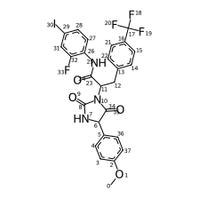 COc1ccc(C2NC(=O)N(C(Cc3ccc(C(F)(F)F)cc3)C(=O)Nc3ccc(I)cc3F)C2=O)cc1